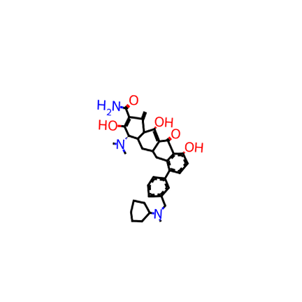 C=C1C(C(N)=O)=C(O)[C@@H](N(C)C)C2CC3Cc4c(-c5cccc(CN(C)C6CCCCC6)c5)ccc(O)c4C(=O)C3=C(O)C12